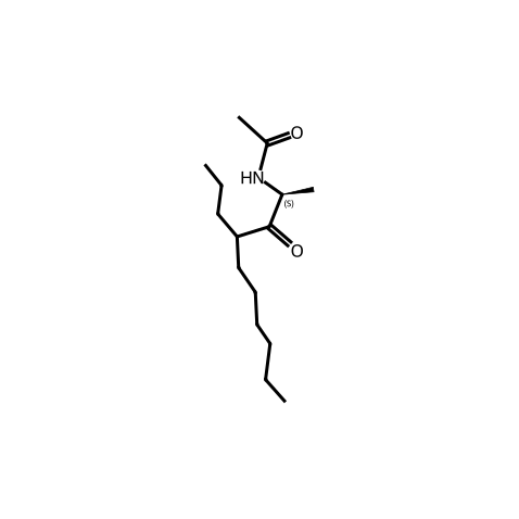 CCCCCCC(CCC)C(=O)[C@H](C)NC(C)=O